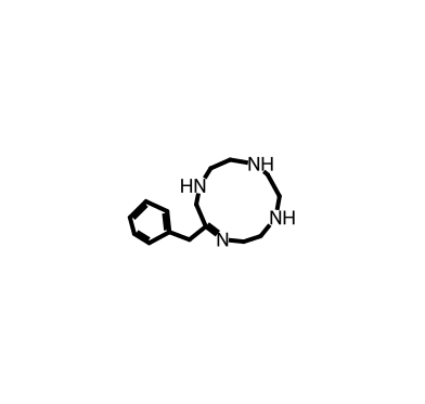 c1ccc(CC2=NCCNCCNCCNC2)cc1